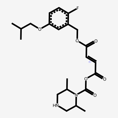 CC(C)COc1ccc(F)c(COC(=O)/C=C/C(=O)OC(=O)N2C(C)CNCC2C)c1